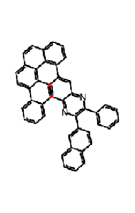 c1ccc(-c2nc3cc(-c4cccc5ccc6ccc7c8ccccc8ccc7c6c45)ccc3nc2-c2ccc3ccccc3c2)cc1